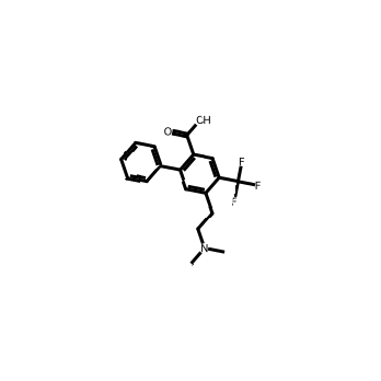 CN(C)CCc1cc(-c2ccccc2)c(C(=O)O)cc1C(F)(F)F